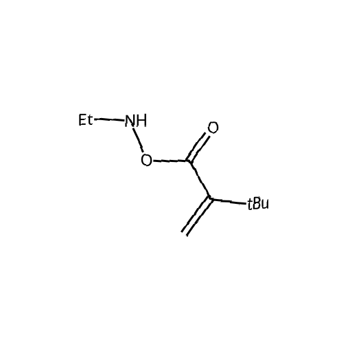 C=C(C(=O)ONCC)C(C)(C)C